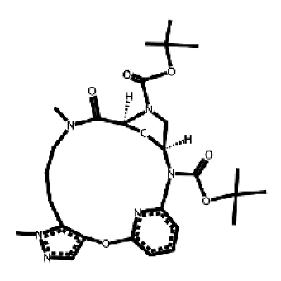 CN1CCCc2c(cnn2C)Oc2cccc(n2)N(C(=O)OC(C)(C)C)[C@H]2C[C@@H](C1=O)N(C(=O)OC(C)(C)C)C2